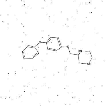 c1ccc(Oc2ccc(OCC3CNCCN3)cc2)cc1